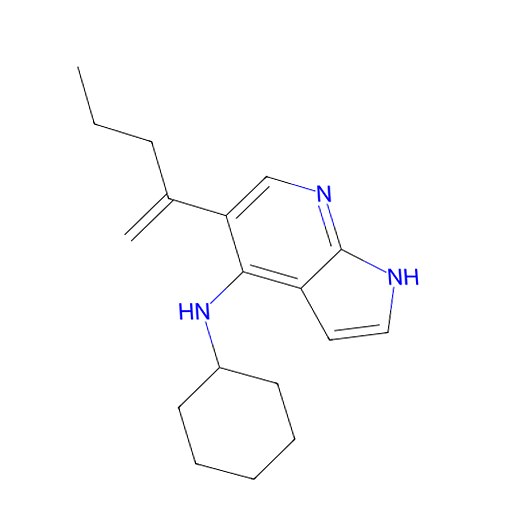 C=C(CCC)c1cnc2[nH]ccc2c1NC1CCCCC1